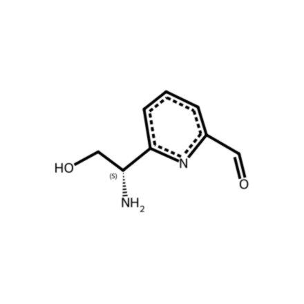 N[C@H](CO)c1cccc(C=O)n1